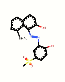 CC(=O)Nc1cccc2ccc(O)c(N=Nc3cc(S(C)(=O)=O)ccc3O)c12